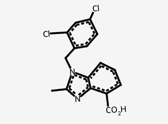 Cc1nc2c(C(=O)O)cccc2n1Cc1ccc(Cl)cc1Cl